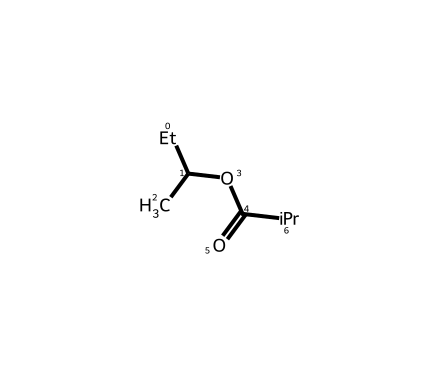 CCC(C)OC(=O)C(C)C